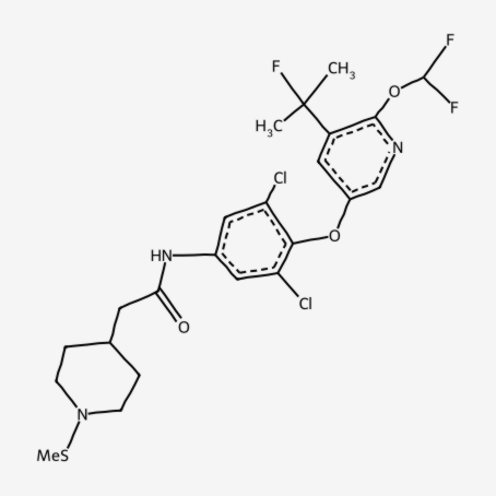 CSN1CCC(CC(=O)Nc2cc(Cl)c(Oc3cnc(OC(F)F)c(C(C)(C)F)c3)c(Cl)c2)CC1